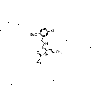 C/C=C/C(=N\NCc1cc(Cl)ccc1OCC(C)C)NC(=O)C1CC1